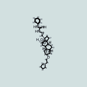 C[C@]12CC[C@H](OCCN3CCCC3)C[C@H]1CC[C@@H]1[C@@H]2CC[C@]2(C)[C@@H](/C=N/NC(=N)Nc3ccccc3)CC[C@]12O